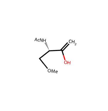 C=C(O)[C@H](COC)NC(C)=O